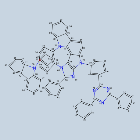 c1ccc(-c2nc(-c3ccccc3)nc(-c3cccc(-n4c5ccc6c7ccccc7n(-c7ccc(-n8c9ccccc9c9ccccc98)cc7)c6c5c5c4nc(-c4ccccc4)n5-c4ccccc4)c3)n2)cc1